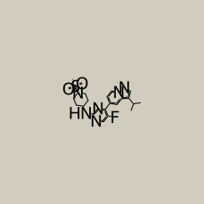 CC(C)c1cnn2ccc(-c3nc(NC4CCN(S(C)(=O)=O)CC4)ncc3F)cc12